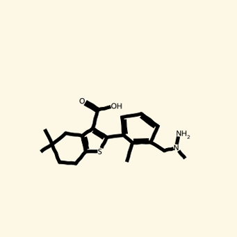 Cc1c(CN(C)N)cccc1-c1sc2c(c1C(=O)O)CC(C)(C)CC2